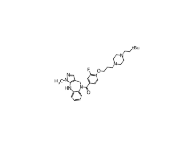 Cn1ncc2c1Nc1ccccc1N(C(=O)c1ccc(OCCCN3CCN(CCC(C)(C)C)CC3)c(F)c1)C2